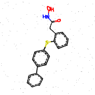 O=C(Cc1ccccc1Sc1ccc(-c2ccccc2)cc1)NO